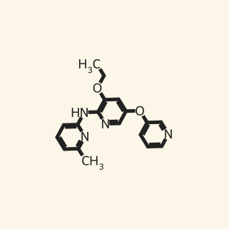 CCOc1cc(Oc2cccnc2)cnc1Nc1cccc(C)n1